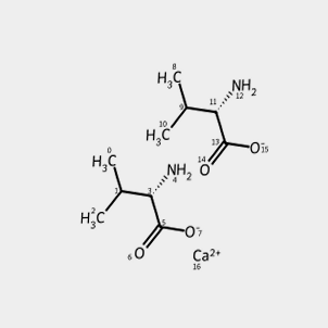 CC(C)[C@H](N)C(=O)[O-].CC(C)[C@H](N)C(=O)[O-].[Ca+2]